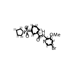 COc1cc(Br)cnc1NC(=O)c1cccc(S(=O)(=O)N2CCCC2)c1